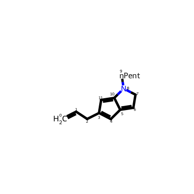 C=CCC1=CC2=CCN(CCCCC)C2=C1